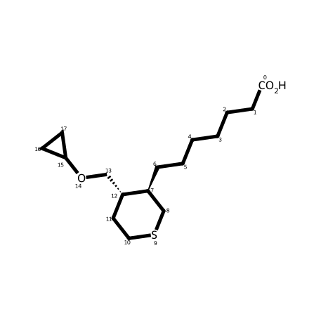 O=C(O)CCCCCC[C@H]1CSCC[C@@H]1COC1CC1